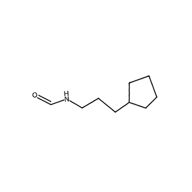 O=CNCCCC1CCCC1